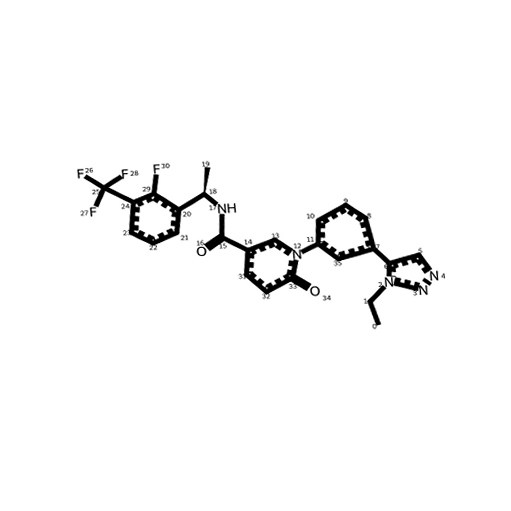 CCn1nncc1-c1cccc(-n2cc(C(=O)N[C@H](C)c3cccc(C(F)(F)F)c3F)ccc2=O)c1